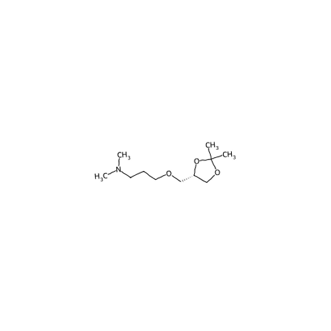 CN(C)CCCOC[C@H]1COC(C)(C)O1